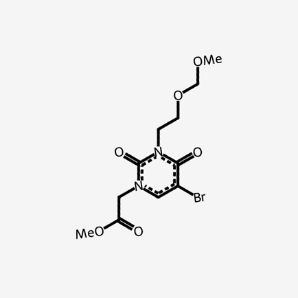 COCOCCn1c(=O)c(Br)cn(CC(=O)OC)c1=O